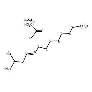 C=C(C)C(=O)O.CCCCCCC(O)C/C=C/CCCCCCCC(=O)O.[MgH2]